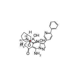 CC(=O)c1c([C@H]2C[C@H]3CC[C@@H](C2)N3C(=O)[C@H](O)CO)nc2c(-c3ccc(-c4ccccc4)nc3)cnn2c1N